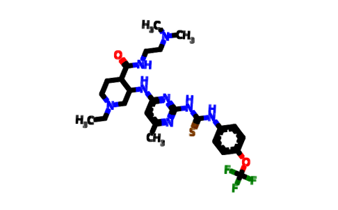 CCN1CCC(C(=O)NCCN(C)C)C(Nc2cc(C)nc(NC(=S)Nc3ccc(OC(F)(F)F)cc3)n2)C1